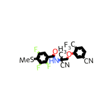 CSc1c(F)cc(C(=O)N[C@@](C)(C#N)COc2cc(C#N)ccc2C(F)(F)F)c(F)c1F